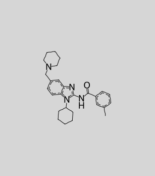 Cc1cccc(C(=O)Nc2nc3cc(CN4CCCCC4)ccc3n2C2CCCCC2)c1